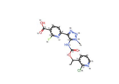 CC(OC(=O)Nc1c(-c2ccc(C(=O)O)c(F)n2)nnn1C)c1cccnc1Cl